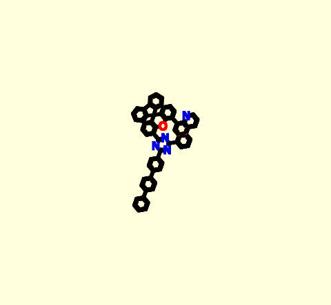 c1ccc(-c2ccc(-c3ccc(-c4nc(-c5ccccc5)nc(-c5cccc6c5Oc5c(-c7cccc8cccnc78)cccc5C65c6ccccc6-c6ccccc65)n4)cc3)cc2)cc1